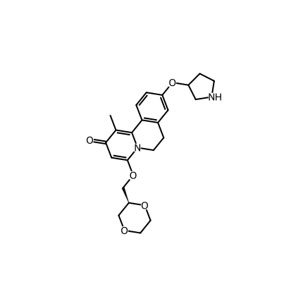 Cc1c2n(c(OC[C@@H]3COCCO3)cc1=O)CCc1cc(OC3CCNC3)ccc1-2